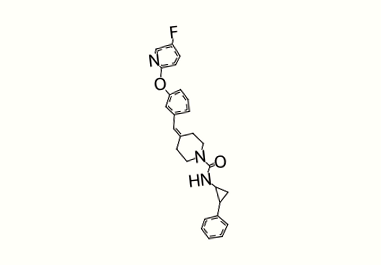 O=C(NC1CC1c1ccccc1)N1CCC(=Cc2cccc(Oc3ccc(F)cn3)c2)CC1